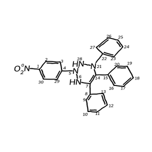 O=[N+]([O-])c1ccc(-n2[nH]c(-c3ccccc3)c(-c3ccccc3)n(-c3ccccc3)[nH]2)cc1